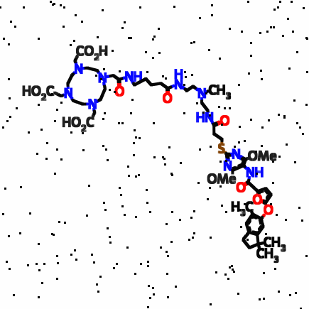 COc1nc(SCCC(=O)NCCN(C)CCNC(=O)CCCCNC(=O)CN2CCN(CC(=O)O)CCN(CC(=O)O)CCN(CC(=O)O)CC2)nc(OC)c1NC(=O)c1ccc(Oc2cc3c(cc2C)CCC3(C)C)o1